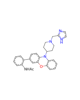 CC(=O)Nc1ccccc1-c1ccc2c(c1)Oc1ccccc1N2C1CCN(Cc2ncc[nH]2)CC1